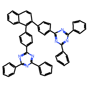 c1ccc(-c2nc(-c3ccccc3)nc(-c3ccc(-c4ccc5ccccc5c4-c4ccc(-c5nc(-c6ccccc6)nc(-c6ccccc6)n5)cc4)cc3)n2)cc1